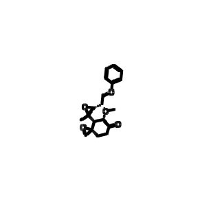 CO[C@@H]1C(=O)CC[C@]2(CO2)[C@H]1C1(C)O[C@@H]1CCOc1ccccc1